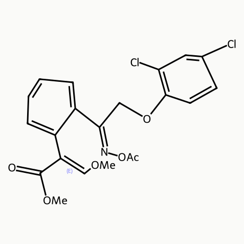 CO/C=C(/C(=O)OC)c1ccccc1C(COc1ccc(Cl)cc1Cl)=NOC(C)=O